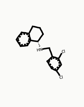 Clc1ccc(CN[C@H]2CCCc3ccccc32)c(Cl)c1